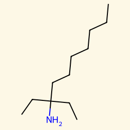 CCCCCCCC(N)(CC)CC